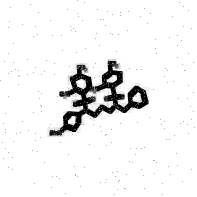 COc1ccc(N(CCCN(Cc2ccccc2)S(=O)(=O)c2ccc([N+](=O)[O-])cc2[N+](=O)[O-])S(=O)(=O)c2ccc([N+](=O)[O-])cc2[N+](=O)[O-])cc1